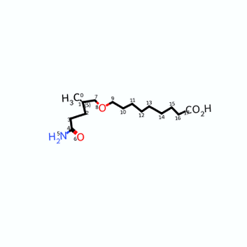 C[C@@H](CCC(N)=O)COCCCCCCCCC(=O)O